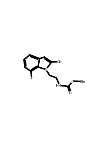 CC(C)(C)OC(=O)NCCn1c(C#N)cc2cccc(F)c21